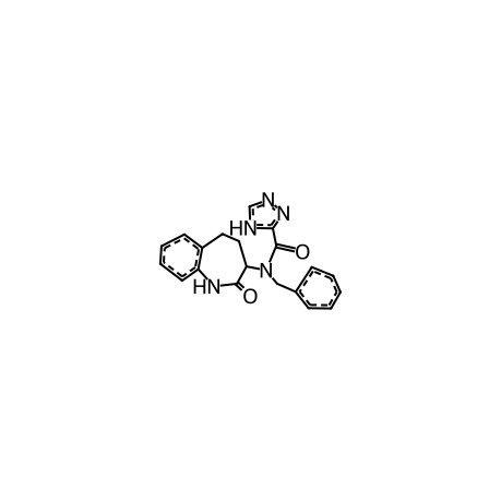 O=C1Nc2ccccc2CCC1N(Cc1ccccc1)C(=O)c1nnc[nH]1